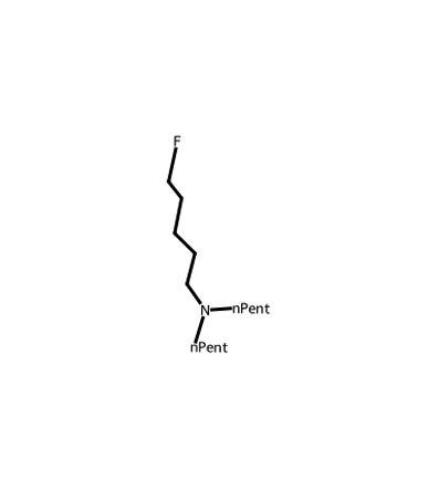 CCCCCN(CCCCC)CCCCCF